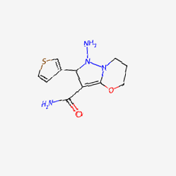 NC(=O)C1=C2OCCCN2N(N)C1c1ccsc1